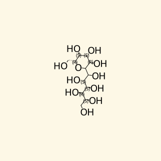 OC[C@H](O)[C@@H](O)[C@H](O)[C@H](O)C(O)C1O[C@H](CO)[C@@H](O)[C@H](O)[C@H]1O